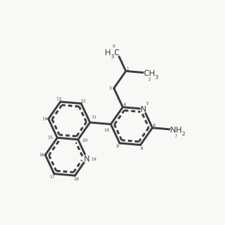 CC(C)Cc1nc(N)ccc1-c1cccc2cccnc12